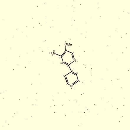 COc1cnc(-c2ccncc2)nc1N